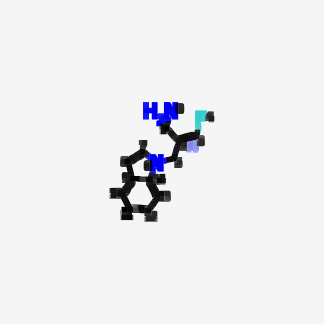 NC/C(=C\F)Cn1ccc2c[c]ccc21